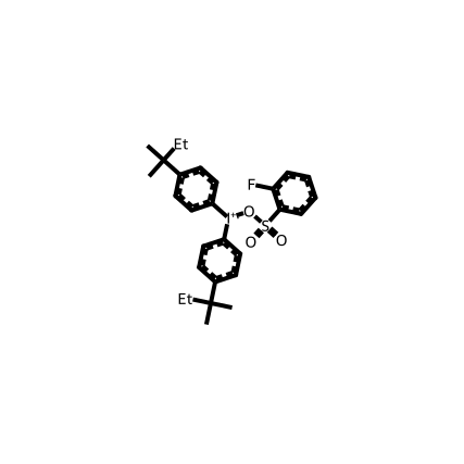 CCC(C)(C)c1ccc([I+](OS(=O)(=O)c2ccccc2F)c2ccc(C(C)(C)CC)cc2)cc1